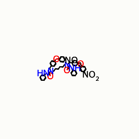 O=C(Nc1ccccc1)N(CCCCCCN(Cc1ccc(Oc2ccc([N+](=O)[O-])cc2)cc1)C(=O)Nc1ccccc1)Cc1ccc(Oc2ccc([N+](=O)[O-])cc2)cc1